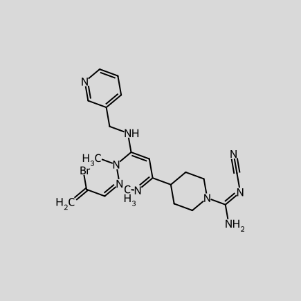 C=C(Br)/C=N\N(C)/C(=C\C(=N/C)C1CCN(/C(N)=N\C#N)CC1)NCc1cccnc1